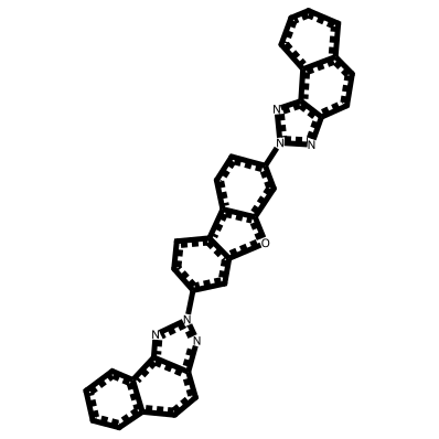 c1ccc2c(c1)ccc1nn(-c3ccc4c(c3)oc3cc(-n5nc6ccc7ccccc7c6n5)ccc34)nc12